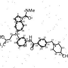 CNC(=O)n1ccc2cc(N(CC[C@@H](C)O)c3ccnc(NC(=O)c4ccc(CN5CCC(C)CC5)cc4)c3)ccc21